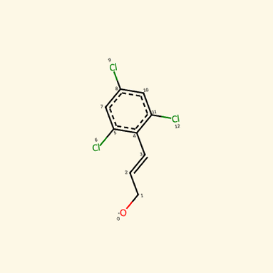 [O]CC=Cc1c(Cl)cc(Cl)cc1Cl